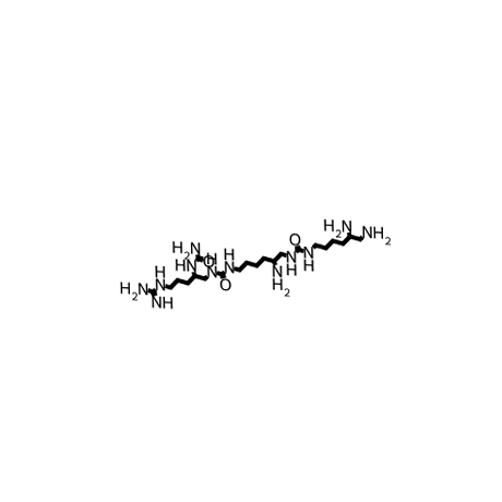 N=C(N)NCCCC(CNC(=O)NCCCCC(N)CNC(=O)NCCCCC(N)CN)NC(N)=O